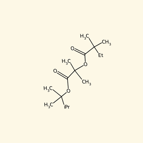 CCC(C)(C)C(=O)OC(C)(C)C(=O)OC(C)(C)C(C)C